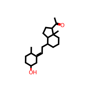 CC(=O)C1CCC2C(C/C=C3/CC(O)CCC3C)CCCC12C